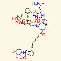 NC(=O)CCC(NC(=O)[C@@H]1CC[C@@H]2CCN(C(=O)CCCCCC#Cc3cccc4c3CN(C3CCC(=O)NC3=O)C4=O)C[C@H](NC(=O)c3cc4cc(C(F)(F)P(=O)(O)O)ccc4s3)C(=O)N21)c1ncc(-c2ccccc2F)s1